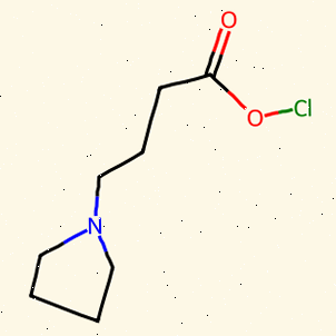 O=C(CCCN1CCCC1)OCl